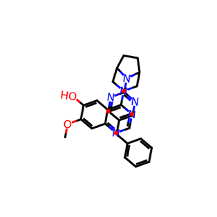 COc1cc2ncnc(N3CC4CCC(C3)N4c3ncc(Cc4ccccc4)cn3)c2cc1O